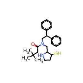 CC(C)(C)CC(=O)N(CC(c1ccccc1)c1ccccc1)CC1NCCC1S